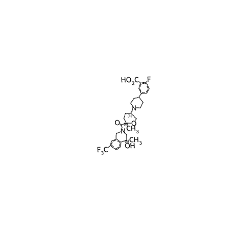 C[C@]1(C(=O)N2Cc3cc(C(F)(F)F)ccc3[C@](C)(O)C2)CC[C@@H](N2CCC(c3ccc(F)c(C(=O)O)c3)CC2)CO1